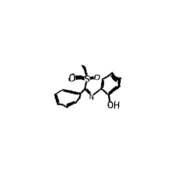 CS(=O)(=O)C(=Nc1ccccc1O)c1ccccc1